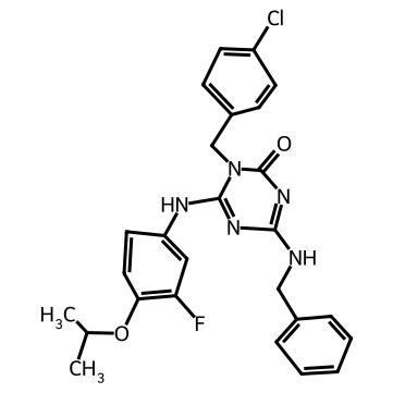 CC(C)Oc1ccc(Nc2nc(NCc3ccccc3)nc(=O)n2Cc2ccc(Cl)cc2)cc1F